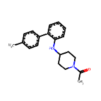 CC(=O)N1CCC(Nc2ccccc2-c2ccc(C)cc2)CC1